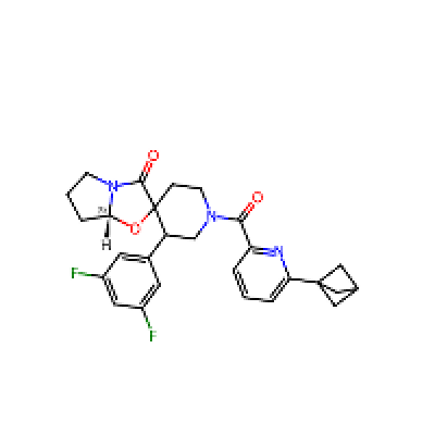 O=C(c1cccc(C23CC(C2)C3)n1)N1CCC2(O[C@@H]3CCCN3C2=O)C(c2cc(F)cc(F)c2)C1